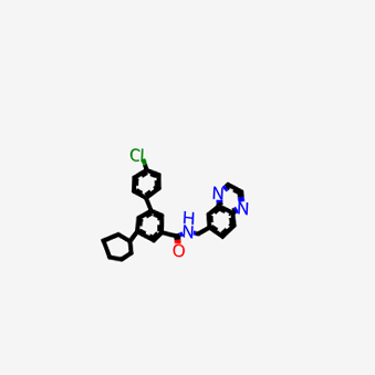 O=C(NCc1ccc2nccnc2c1)c1cc(-c2ccc(Cl)cc2)cc(C2CCCCC2)c1